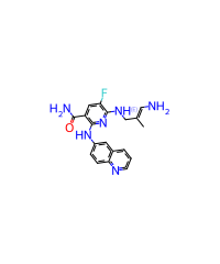 C/C(=C\N)CNc1nc(Nc2ccc3ncccc3c2)c(C(N)=O)cc1F